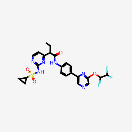 CCC(C(=O)Nc1ccc(-c2cncc(OC(F)C(F)F)n2)cc1)c1ccnc(NS(=O)(=O)C2CC2)n1